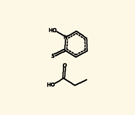 CCC(=O)O.On1ccccc1=S